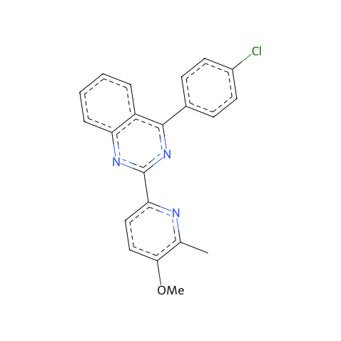 COc1ccc(-c2nc(-c3ccc(Cl)cc3)c3ccccc3n2)nc1C